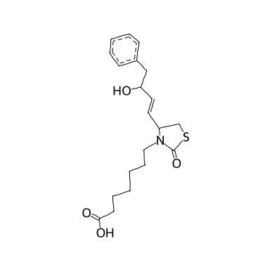 O=C(O)CCCCCCN1C(=O)SCC1/C=C/C(O)Cc1ccccc1